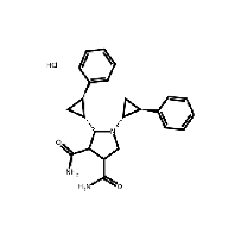 Cl.NC(=O)C1CN([C@@H]2C[C@H]2c2ccccc2)C([C@@H]2C[C@H]2c2ccccc2)C1C(N)=O